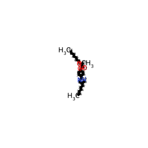 CCCCCCCCOC(C)C(=O)Oc1ccc(-c2ncc(CCCCCC)cn2)cc1